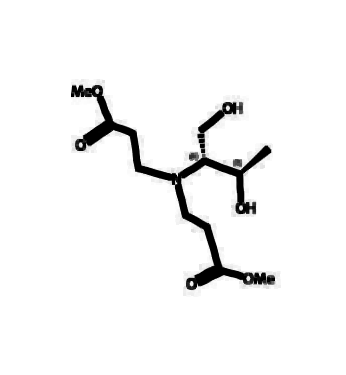 COC(=O)CCN(CCC(=O)OC)[C@H](CO)[C@@H](C)O